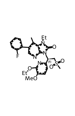 CCOc1nc([C@H](CS(C)(=O)=O)n2c(=O)n(CC)c3c(C)c(-c4ccccc4F)cnc32)ccc1OC